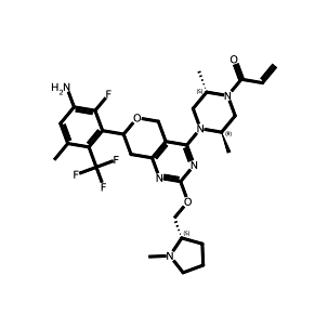 C=CC(=O)N1C[C@@H](C)N(c2nc(OC[C@@H]3CCCN3C)nc3c2COC(c2c(F)c(N)cc(C)c2C(F)(F)F)C3)C[C@@H]1C